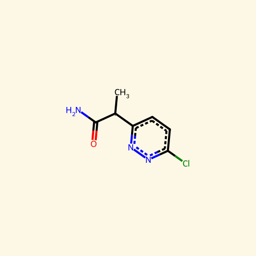 C[C](C(N)=O)c1ccc(Cl)nn1